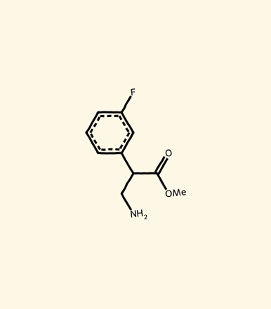 COC(=O)C(CN)c1cccc(F)c1